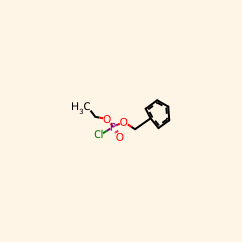 CCOP(=O)(Cl)OCc1ccccc1